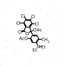 CCN(CC)c1cc(OC(C)=O)c(C2(OC(C)=O)OC(=O)c3c(Cl)c(Cl)c(Cl)c(Cl)c32)cc1C